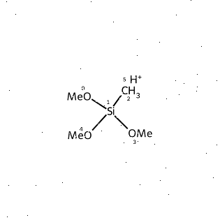 CO[Si](C)(OC)OC.[H+]